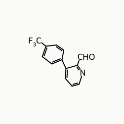 O=Cc1ncccc1-c1ccc(C(F)(F)F)cc1